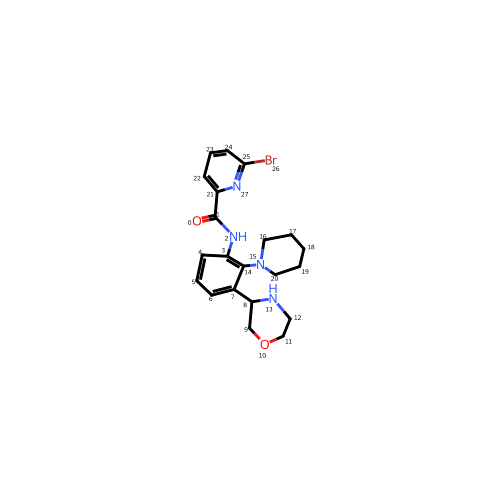 O=C(Nc1cccc(C2COCCN2)c1N1CCCCC1)c1cccc(Br)n1